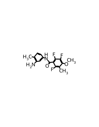 COc1c(C)c(F)c(C(=O)Nc2ccc(C)c(N)c2)c(F)c1F